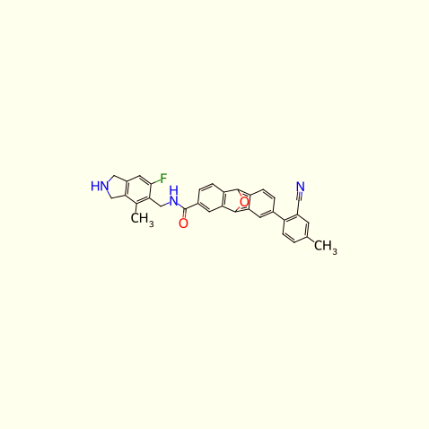 Cc1ccc(-c2ccc3c(c2)c2oc3c3ccc(C(=O)NCc4c(F)cc5c(c4C)CNC5)cc32)c(C#N)c1